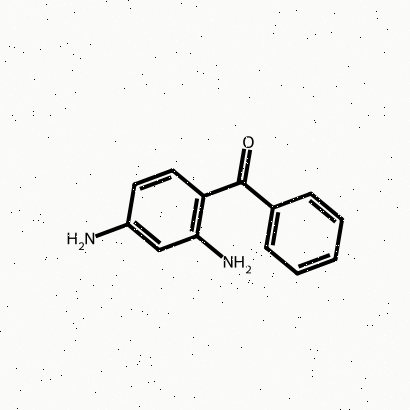 Nc1ccc(C(=O)c2ccccc2)c(N)c1